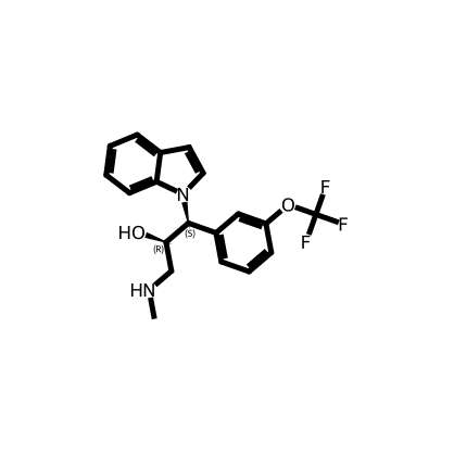 CNC[C@@H](O)[C@H](c1cccc(OC(F)(F)F)c1)n1ccc2ccccc21